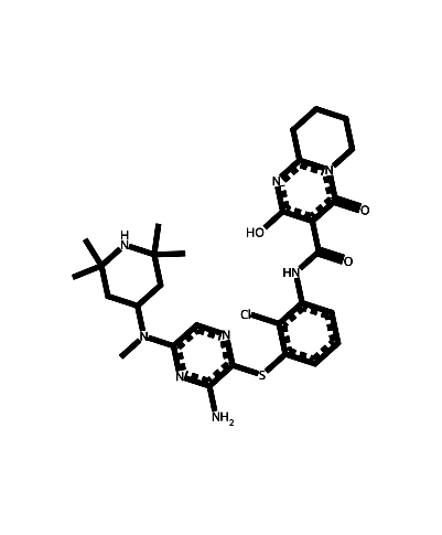 CN(c1cnc(Sc2cccc(NC(=O)c3c(O)nc4n(c3=O)CCCC4)c2Cl)c(N)n1)C1CC(C)(C)NC(C)(C)C1